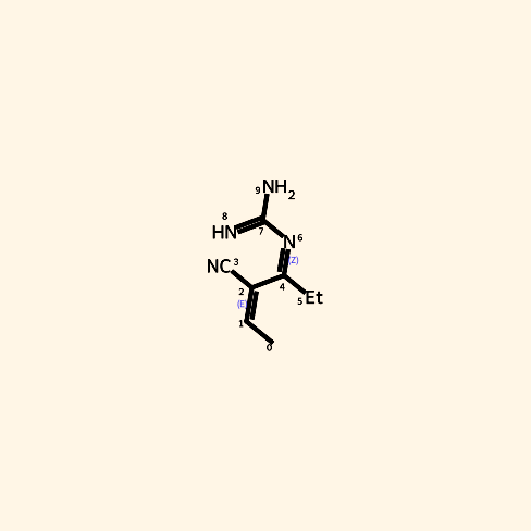 C/C=C(C#N)\C(CC)=N/C(=N)N